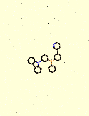 c1ccc(P(c2cccc(-c3cccnc3)c2)c2cccc(-n3c4ccccc4c4ccccc43)c2)cc1